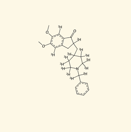 [2H]c1c2c(c([2H])c(OC)c1OC)C(=O)C([2H])(CC1([2H])C([2H])([2H])C([2H])([2H])N(C([2H])([2H])c3ccccc3)C([2H])([2H])C1([2H])[2H])C2